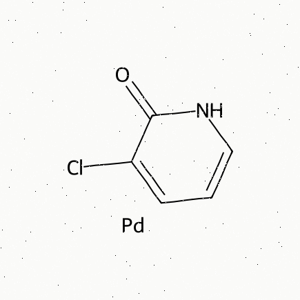 O=c1[nH]cccc1Cl.[Pd]